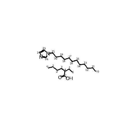 CCCCC(CC)C(=O)O.CCCCCCCCCCCCn1ccnc1